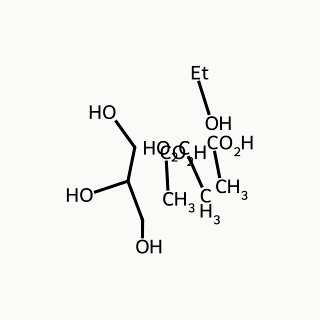 CC(=O)O.CC(=O)O.CC(=O)O.CCO.OCC(O)CO